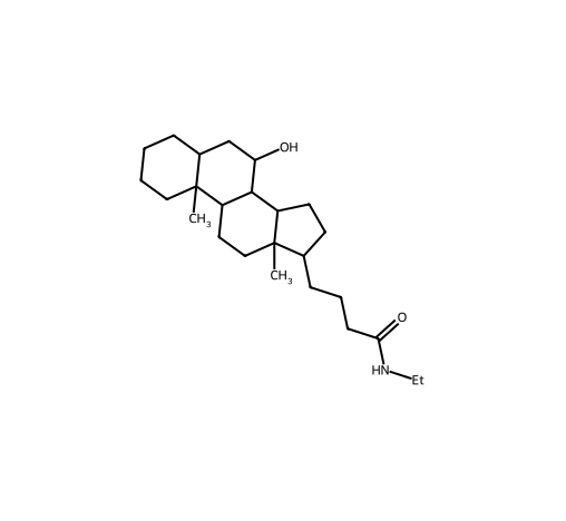 CCNC(=O)CCCC1CCC2C3C(O)CC4CCCCC4(C)C3CCC12C